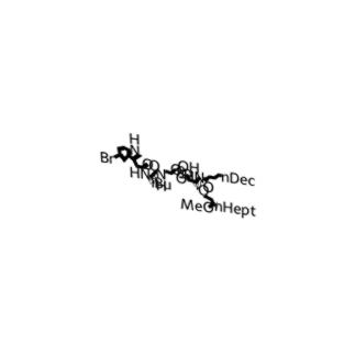 CCCCCCCCCCCCCC(=O)N[C@H](COCC[C@@H](CCCCCCC)OC)COP(=O)(O)OCCNC(=O)[C@@H](NC(=O)Cc1c[nH]c2ccc(Br)cc12)[C@@H](C)CC